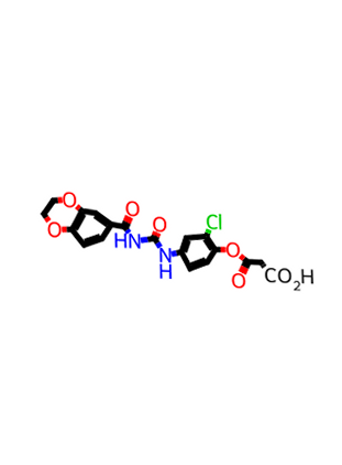 O=C(O)CC(=O)Oc1ccc(NC(=O)NC(=O)c2ccc3c(c2)OCCO3)cc1Cl